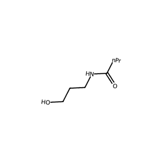 [CH2]CCC(=O)NCCCO